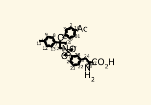 CC(=O)c1ccc(OC2(c3ccc(C)cc3)CN(S(=O)(=O)c3cccc(CC(N)C(=O)O)c3)C2)cc1